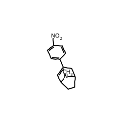 CN1C2C=C(c3ccc([N+](=O)[O-])cc3)CC1CC2